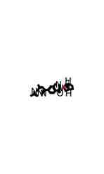 Cc1cn2nc(-c3ccc4c(=O)n([C@@H]5C[C@H]6CC[C@@H](C5)N6C)ncc4c3)cc(C)c2n1